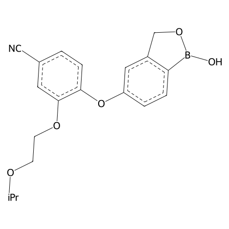 CC(C)OCCOc1cc(C#N)ccc1Oc1ccc2c(c1)COB2O